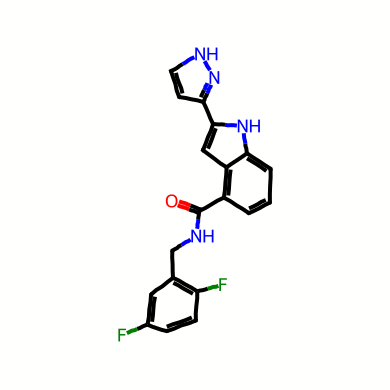 O=C(NCc1cc(F)ccc1F)c1cccc2[nH]c(-c3cc[nH]n3)cc12